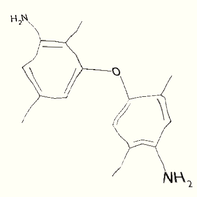 Cc1cc(N)c(C)c(Oc2cc(C)c(N)cc2C)c1